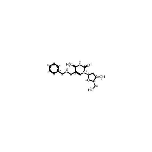 C=C1NC(=O)N([C@H]2CC(O)[C@@H](CO)O2)C=C1COCc1ccccc1